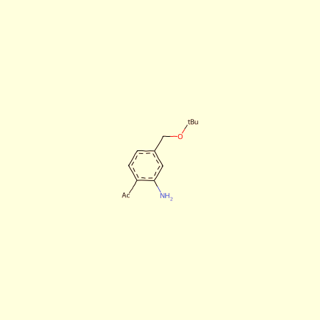 CC(=O)c1ccc(COC(C)(C)C)cc1N